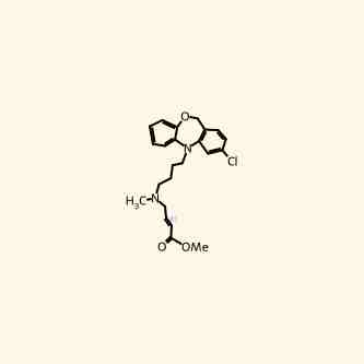 COC(=O)/C=C/CN(C)CCCCN1c2cc(Cl)ccc2COc2ccccc21